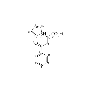 CCOC(=O)C(CC(=O)c1ccccc1)[SH]1C=CC=C1